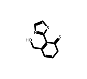 OCC1=C(c2nccs2)C(=S)CC=C1